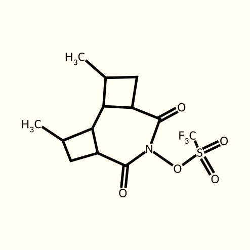 CC1CC2C(=O)N(OS(=O)(=O)C(F)(F)F)C(=O)C3CC(C)C3C12